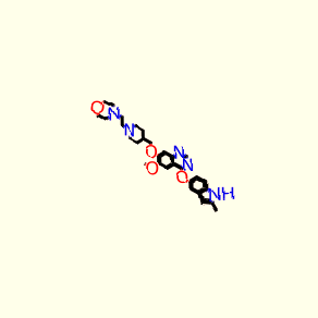 COc1cc2c(Oc3ccc4[nH]c(C)cc4c3)ncnc2cc1OCC1CCN(CCN2CCOCC2)CC1